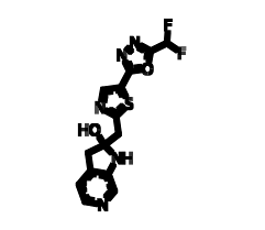 OC1(Cc2ncc(-c3nnc(C(F)F)o3)s2)Cc2ccncc2N1